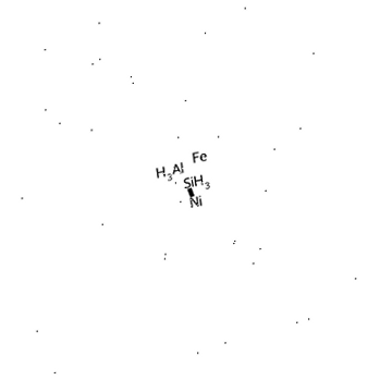 [AlH3].[Fe].[SiH3][Ni]